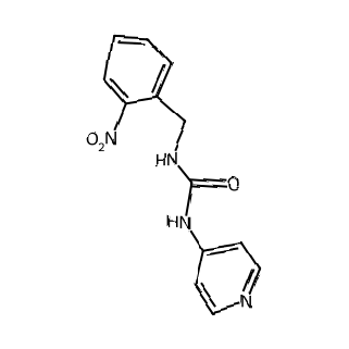 O=C(NCc1ccccc1[N+](=O)[O-])Nc1ccncc1